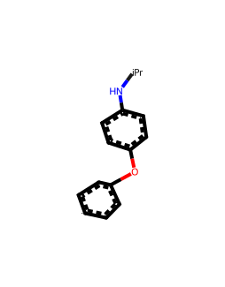 CC(C)Nc1ccc(Oc2cc[c]cc2)cc1